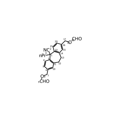 CCCC1(C#N)c2ccc(COC=O)cc2CCc2cc(COC=O)ccc21